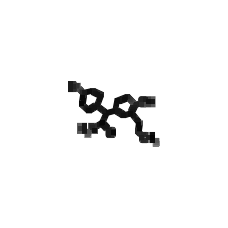 CC=Cc1cc(C(C(N)=O)c2ccc(Br)cc2)ccc1O